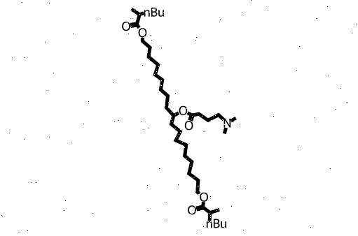 CCCCC(C)C(=O)OCCCCCCCCCC(CCCCCCCCCOC(=O)C(C)CCCC)OC(=O)CCCN(C)C